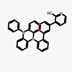 N#Cc1ncccc1-c1cccc(-c2ccccc2N2c3ccccc3N(c3ccccc3)c3ccccc32)c1